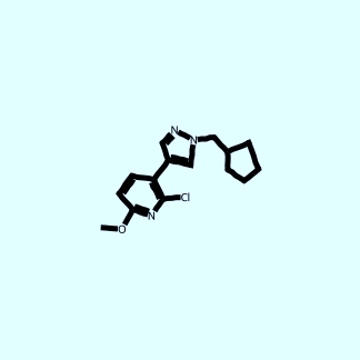 COc1ccc(-c2cnn(CC3CCCC3)c2)c(Cl)n1